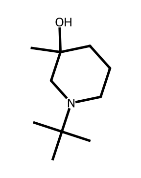 CC1(O)CCCN(C(C)(C)C)C1